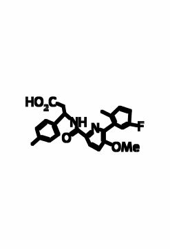 COc1ccc(C(=O)NC(CC(=O)O)c2ccc(C)cc2)nc1-c1cc(F)ccc1C